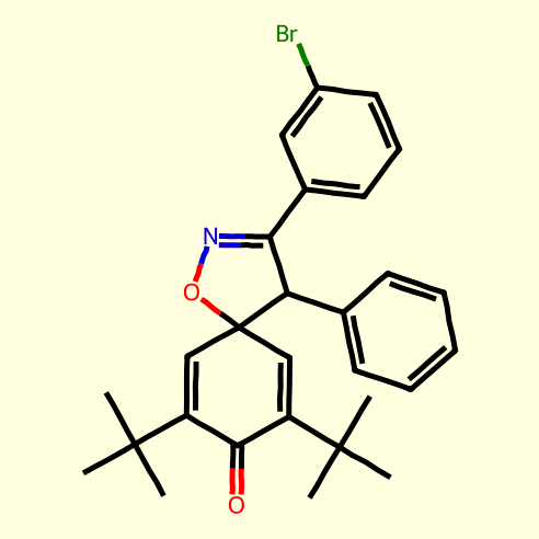 CC(C)(C)C1=CC2(C=C(C(C)(C)C)C1=O)ON=C(c1cccc(Br)c1)C2c1ccccc1